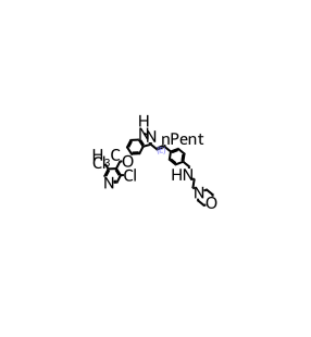 CCCCC/C(=C\c1n[nH]c2ccc(OC(C)c3c(Cl)cncc3Cl)cc12)c1ccc(CNCCN2CCOCC2)cc1